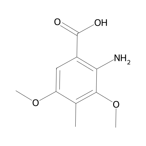 COc1cc(C(=O)O)c(N)c(OC)c1C